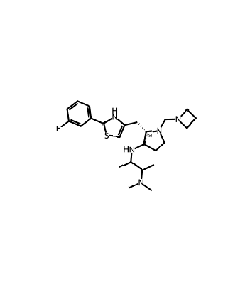 CC(NC1CCN(CN2CCC2)[C@H]1CC1=CSC(c2cccc(F)c2)N1)C(C)N(C)C